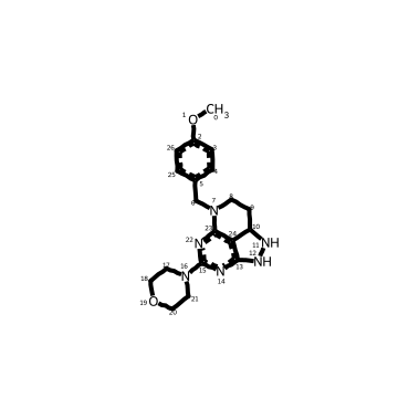 COc1ccc(CN2CCC3NNc4nc(N5CCOCC5)nc2c43)cc1